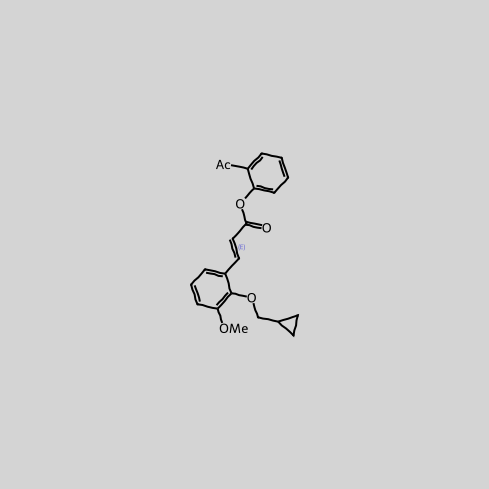 COc1cccc(/C=C/C(=O)Oc2ccccc2C(C)=O)c1OCC1CC1